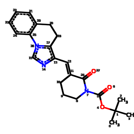 CC(C)(C)OC(=O)N1CCC/C(=C\c2ncn3c2CCc2ccccc2-3)C1=O